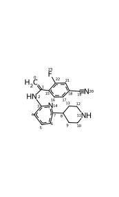 C=C(Nc1cccc(C2CCNCC2)n1)c1ccc(C#N)cc1F